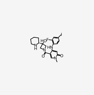 Cn1cc(C(=O)N2CC(O)([C@@H]3CCCCN3)C2)c(Nc2ccc(I)cc2F)cc1=O